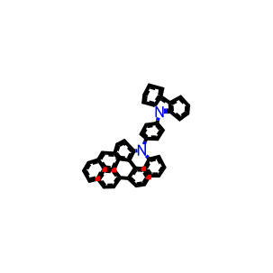 c1ccc(-c2ccccc2-c2c(N(c3ccccc3)c3ccc(-n4c5ccccc5c5ccccc54)cc3)ccc3cc4ccccc4cc23)cc1